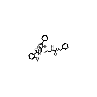 COc1ccccc1C(=O)N[C@@H](CCCNC(=O)OCc1ccccc1)c1ncc(-c2ccccc2)[nH]1